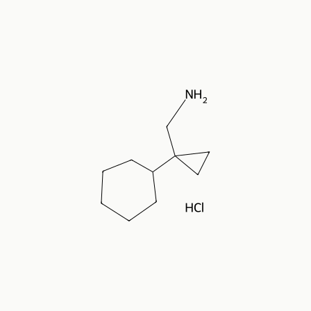 Cl.NCC1(C2CCCCC2)CC1